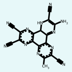 Cc1nc2c(nc1C#N)C1=NC(N)=C(C#N)NC1c1nc(C#N)c(C#N)nc1-2